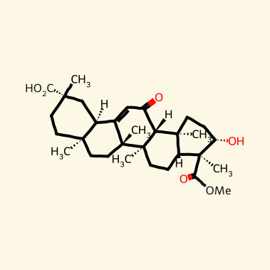 COC(=O)[C@@]1(C)[C@@H]2CC[C@]3(C)[C@H](C(=O)C=C4[C@@H]5C[C@@](C)(C(=O)O)CC[C@]5(C)CC[C@]43C)[C@@]2(C)CC[C@@H]1O